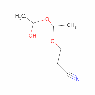 CC(O)OC(C)OCCC#N